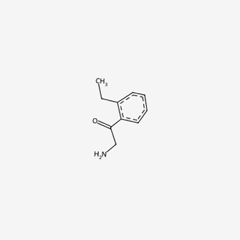 CCc1ccccc1C(=O)CN